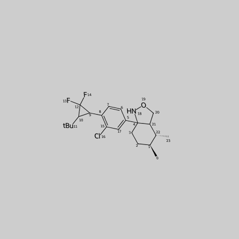 C[C@H]1CCC2(c3ccc(C4C(C(C)(C)C)C4(F)F)c(Cl)c3)NOCC2[C@@H]1C